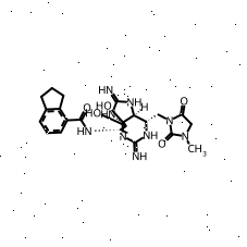 CN1CC(=O)N(C[C@@H]2NC(=N)N3C[C@H](NC(=O)c4cccc5c4CCC5)C(O)(O)[C@@]34NC(=N)N[C@@H]24)C1=O